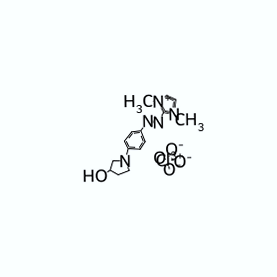 Cn1cc[n+](C)c1/N=N/c1ccc(N2CCC(O)C2)cc1.[O-][Cl+3]([O-])([O-])[O-]